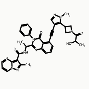 Cc1nn2cccnc2c1C(=O)NC(C)c1nc2cccc(C#Cc3cnn(C)c3C3CN(C(=O)C(C)O)C3)c2c(=O)n1-c1ccccc1